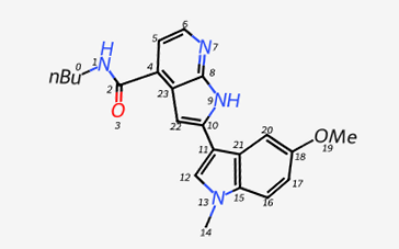 CCCCNC(=O)c1ccnc2[nH]c(-c3cn(C)c4ccc(OC)cc34)cc12